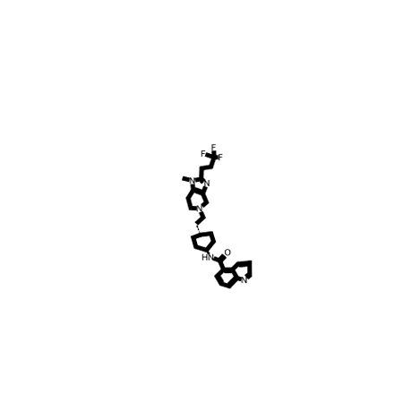 Cn1c(CCC(F)(F)F)nc2c1CCN(CC[C@H]1CC[C@H](NC(=O)c3cccc4ncccc34)CC1)C2